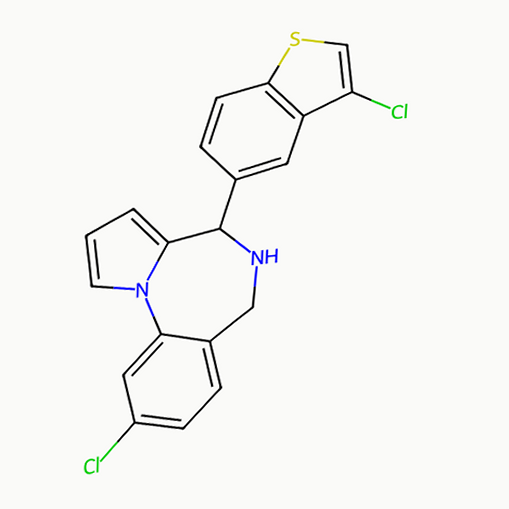 Clc1ccc2c(c1)-n1cccc1C(c1ccc3scc(Cl)c3c1)NC2